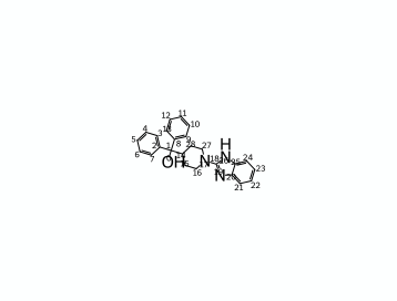 OC(c1ccccc1)(c1ccccc1)C1CCN(c2nc3ccccc3[nH]2)CC1